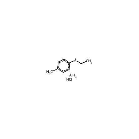 C[CH2][Al][c]1ccc(C)cc1.Cl.[AlH3]